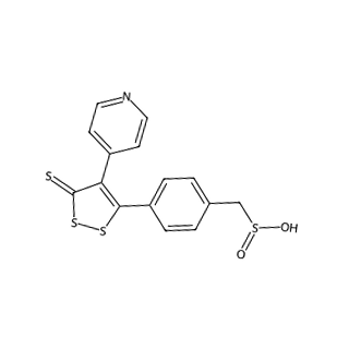 O=S(O)Cc1ccc(-c2ssc(=S)c2-c2ccncc2)cc1